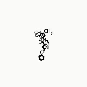 COc1cc(C)cc(N2CCn3nc(COc4ccccc4)cc3C2=O)n1